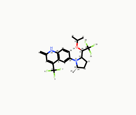 C=C1C=C(C(F)(F)F)c2cc(N3C([C@@H](OC(C)C)C(F)(F)F)CC[C@@H]3C)ccc2N1